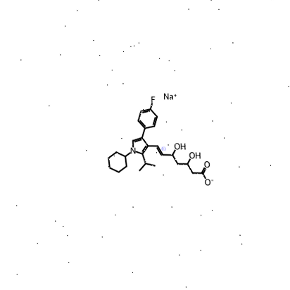 CC(C)c1c(/C=C/C(O)CC(O)CC(=O)[O-])c(-c2ccc(F)cc2)cn1C1CCCCC1.[Na+]